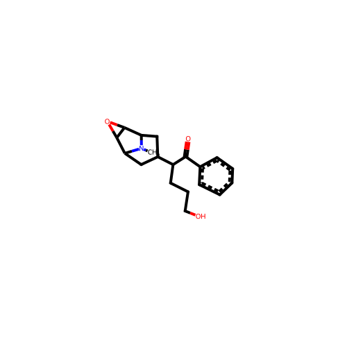 CN1C2CC(C(CCCO)C(=O)c3ccccc3)CC1C1OC12